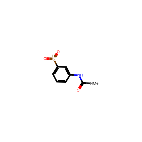 CNC(=O)Nc1cccc([SH](=O)=O)c1